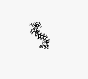 CC(C)(C)OC(=O)N1CCCC1c1ncc(-c2ccc3cc4cc(-c5cnc(C6CCCN6CC=O)[nH]5)ccc4cc3c2)[nH]1